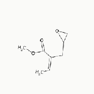 CC=C(CC1CO1)C(=O)OC